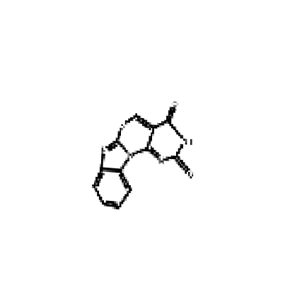 O=c1nc2n3c(nc4ccccc43)scc-2c(=O)[nH]1